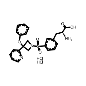 Cl.Cl.N[C@@H](Cc1cccc(S(=O)(=O)N2CC(Oc3ccccc3)(c3ccccn3)C2)c1)C(=O)O